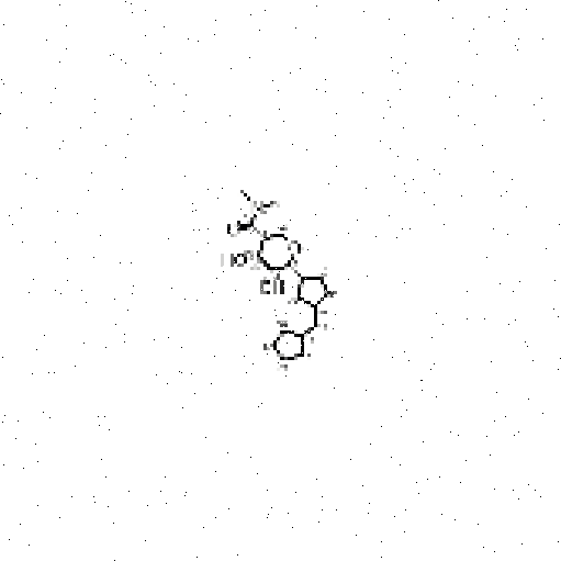 CN(C)C(=O)[C@@H]1CO[C@H](C2CCC(CC3CCCC3)C2)[C@H](O)[C@@H]1O